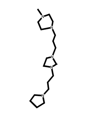 CN1CCN(CCCN2[C]N(CCCN3CCCC3)CC2)CC1